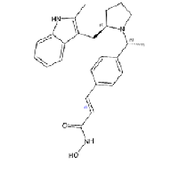 Cc1[nH]c2ccccc2c1C[C@H]1CCCN1[C@H](C)c1ccc(/C=C/C(=O)NO)cc1